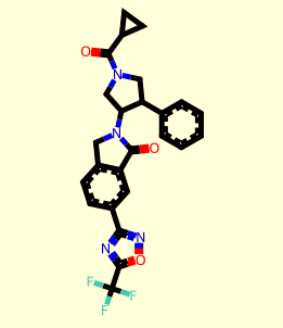 O=C(C1CC1)N1CC(c2ccccc2)C(N2Cc3ccc(-c4noc(C(F)(F)F)n4)cc3C2=O)C1